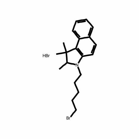 Br.CC1N(CCCCCBr)c2ccc3ccccc3c2C1(C)C